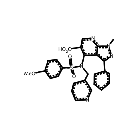 COc1ccc(S(=O)(=O)N(Cc2cccnc2)c2c(C(=O)O)cnc3c2c(-c2ccccc2)nn3C)cc1